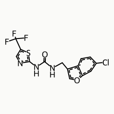 O=C(NCc1coc2cc(Cl)ccc12)Nc1ncc(C(F)(F)F)s1